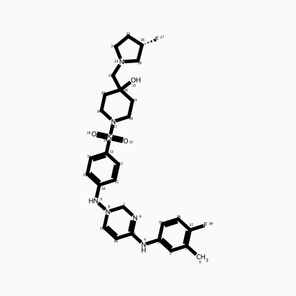 Cc1cc(NC2=NCN(Nc3ccc(S(=O)(=O)N4CCC(O)(CN5CC[C@H](F)C5)CC4)cc3)C=C2)ccc1F